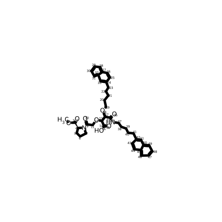 COC(=O)[C@@H]1CCCN1C(=O)COC(C(=O)O)C(OCCCCCc1ccc2ccccc2c1)C(=O)NCCCCCc1ccc2ccccc2c1